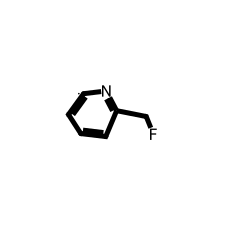 FCc1ccc[c]n1